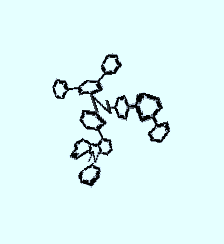 c1ccc(-c2cccc(-c3ccc(N(c4cc(-c5ccccc5)cc(-c5ccccc5)c4)c4cccc(-c5cccc6c5c5ccccc5n6-c5ccccc5)c4)cc3)c2)cc1